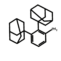 Pc1cccc(C23CC4CC(CC(C4)C2)C3)c1C12CC3CC(CC(C3)C1)C2